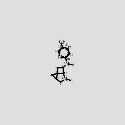 CN1CC2CC23CC(N(C)c2ccc(C(F)(F)F)cn2)C13